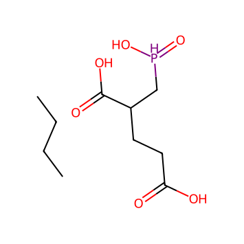 CCCC.O=C(O)CCC(C[PH](=O)O)C(=O)O